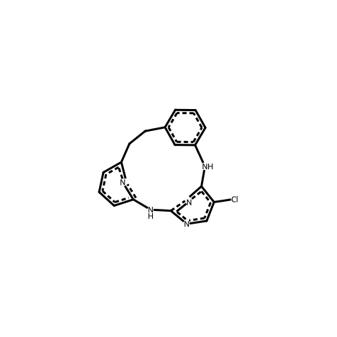 Clc1cnc2nc1Nc1cccc(c1)CCc1cccc(n1)N2